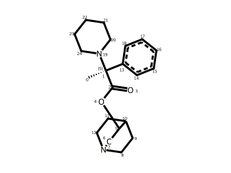 C[C@@](C(=O)OC1CN2CCC1CC2)(c1ccccc1)N1CCCCC1